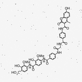 COc1c(NC(=O)c2ccc(NC(=O)c3ccc(NC(=O)CNC(=O)c4ccc(NC(=O)c5c(C)c6ccc(O)cc6oc5=O)cc4)cc3)c(OC)c2O)ccc(C(=O)O)c1O